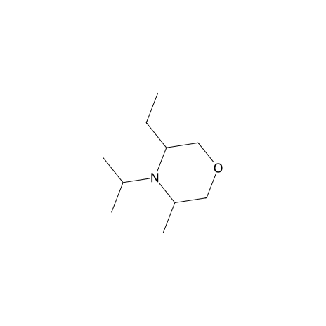 CCC1COCC(C)N1C(C)C